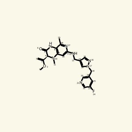 C=C(OC)[C@H]1C(=O)Nc2c(cc(NCc3cnn(Cc4cncc(F)c4)c3)nc2C)N1C